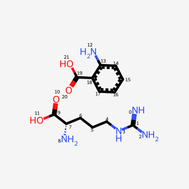 N=C(N)NCCC[C@H](N)C(=O)O.Nc1ccccc1C(=O)O